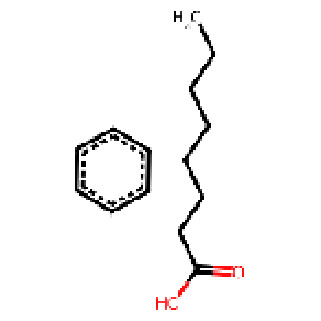 CCCCCCCC(=O)O.[c]1ccccc1